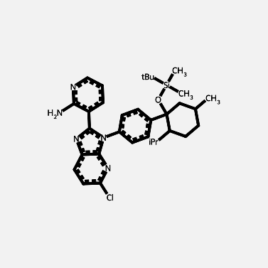 CC1CCC(C(C)C)C(O[Si](C)(C)C(C)(C)C)(c2ccc(-n3c(-c4cccnc4N)nc4ccc(Cl)nc43)cc2)C1